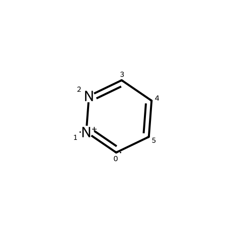 [C]1=[N+]N=CC=C1